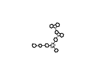 c1ccc(-c2ccc(-c3ccc(-c4nc(-c5ccccc5)nc(-c5ccc(-n6c7ccccc7c7cc(-n8c9ccccc9c9ccccc98)ccc76)cc5)n4)cc3)cc2)cc1